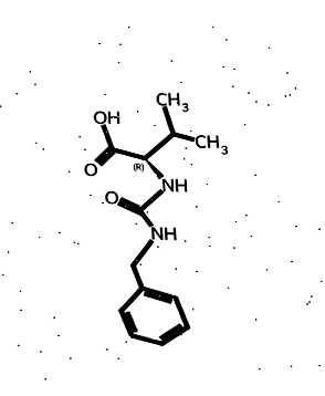 CC(C)[C@@H](NC(=O)NCc1ccccc1)C(=O)O